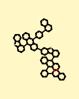 c1ccc(-c2c3ccccc3c(-c3cccc4sc5cc(-c6ccc7c(-c8cccc9sc%10ccccc%10c89)c8ccccc8c(-c8ccc(-c9cccc%10ccccc9%10)cc8)c7c6)ccc5c34)c3ccccc23)c(-c2ccc3ccccc3c2)c1